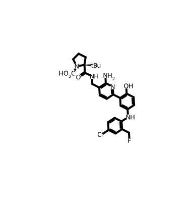 CC(C)(C)[C@]1(C(=O)NCc2ccc(-c3cc(Nc4ccc(Cl)cc4CF)ccc3O)nc2N)CCCN1C(=O)O